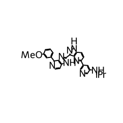 COc1cccc(-c2nccc3[nH]c(-c4n[nH]c5ccc(-c6cncc(NC(C)C)c6)nc45)nc23)c1